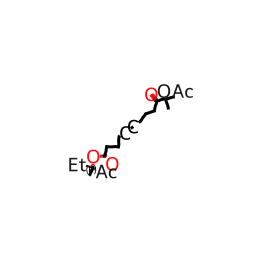 CC[C@@](C)(OC(=O)CCCCCCCCC(=O)C(C)(C)OC(C)=O)C(C)=O